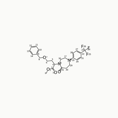 COC(=O)C(CCOCc1ccccc1)N1CCN(c2ccc(C(F)(F)F)cc2)CCC1=O